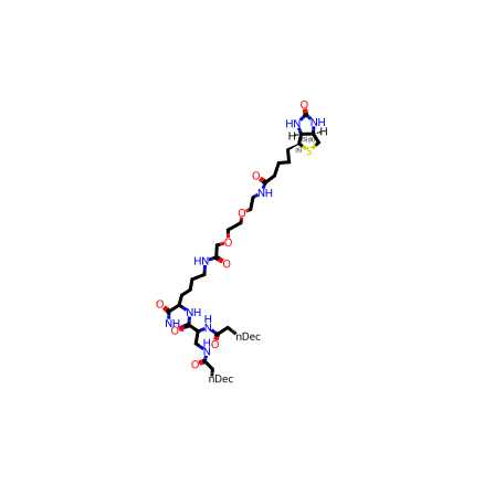 CCCCCCCCCCCC(=O)NCC(NC(=O)CCCCCCCCCCC)C(=O)NC(CCCCNC(=O)COCCOCCNC(=O)CCCC[C@@H]1SC[C@@H]2NC(=O)N[C@@H]21)C(N)=O